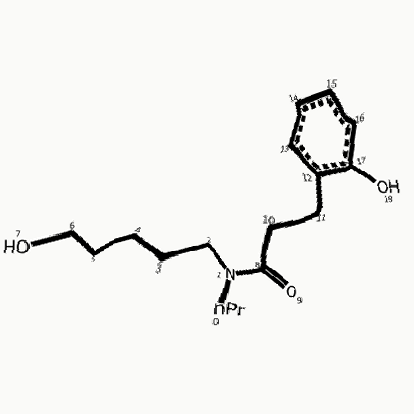 CCCN(CCCCCO)C(=O)CCc1ccccc1O